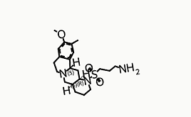 COc1cc2c(cc1C)[C@@H]1C[C@@H]3[C@@H](CCCN3S(=O)(=O)CCCN)CN1CC2